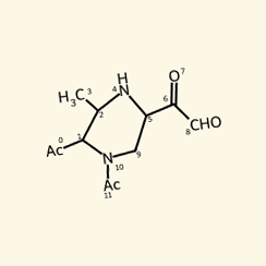 CC(=O)C1C(C)NC(C(=O)C=O)CN1C(C)=O